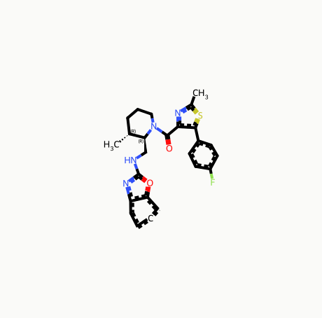 Cc1nc(C(=O)N2CCC[C@@H](C)[C@@H]2CNc2nc3ccccc3o2)c(-c2ccc(F)cc2)s1